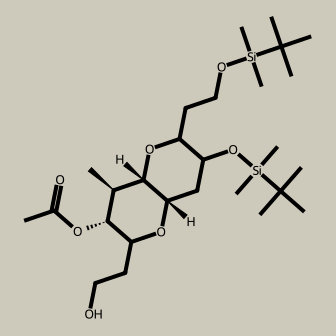 CC(=O)O[C@H]1C(CCO)O[C@H]2CC(O[Si](C)(C)C(C)(C)C)C(CCO[Si](C)(C)C(C)(C)C)O[C@H]2[C@@H]1C